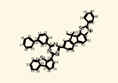 CC1(C)c2cc(-c3nc(-c4cccc(-c5ccccc5)c4)nc(-c4cccc5c4sc4ccccc45)n3)ccc2-c2ccc3nc(-c4ccccc4)sc3c21